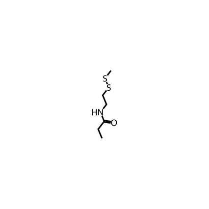 CCC(=O)NCCSSC